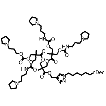 CCCCCCCCCCCCCCCCn1cc(COC(=O)C(C)(COC(=O)C(C)(COC(=O)NCCCN2CCCC2)COC(=O)NCCCN2CCCC2)COC(=O)C(C)(COC(=O)NCCCN2CCCC2)COC(=O)OCCCN2CCCC2)nn1